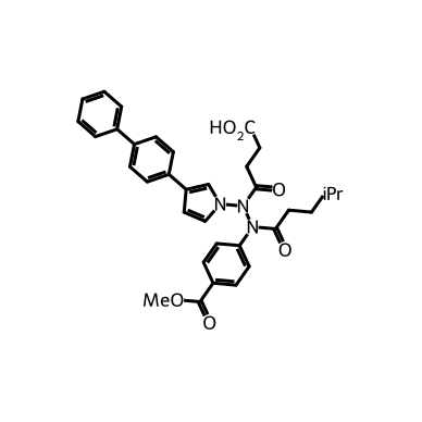 COC(=O)c1ccc(N(C(=O)CCC(C)C)N(C(=O)CCC(=O)O)n2ccc(-c3ccc(-c4ccccc4)cc3)c2)cc1